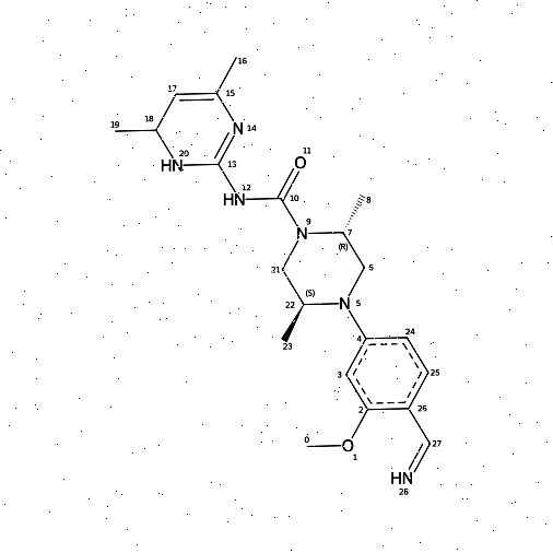 COc1cc(N2C[C@@H](C)N(C(=O)NC3=NC(C)=CC(C)N3)C[C@@H]2C)ccc1C=N